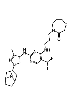 Cc1nn(C2CC3CCC(C2)N3C)cc1Nc1ncc(C(F)F)c(NCCCN2CCCOCC2=O)n1